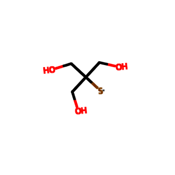 OCC([S])(CO)CO